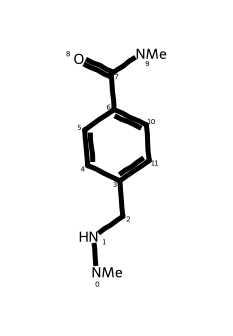 CNNCc1ccc(C(=O)NC)cc1